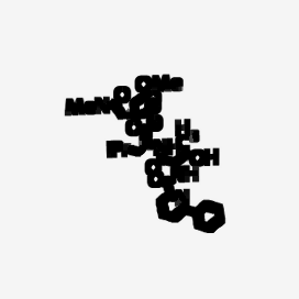 CNC(=O)C[C@]1(CC(=O)OC)OB([C@H](CC(C)C)NC(=O)C(NC(=O)c2cccc(-c3ccccc3)n2)[C@@H](C)O)OC1=O